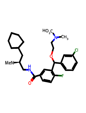 CN[C@H](CNC(=O)c1ccc(F)c(C(OCCN(C)C(=O)O)c2cccc(Cl)c2)c1)CC1CCCCC1